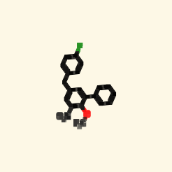 O=[N+]([O-])c1cc(Cc2ccc(F)cc2)cc(-c2ccccc2)c1OC(F)(F)F